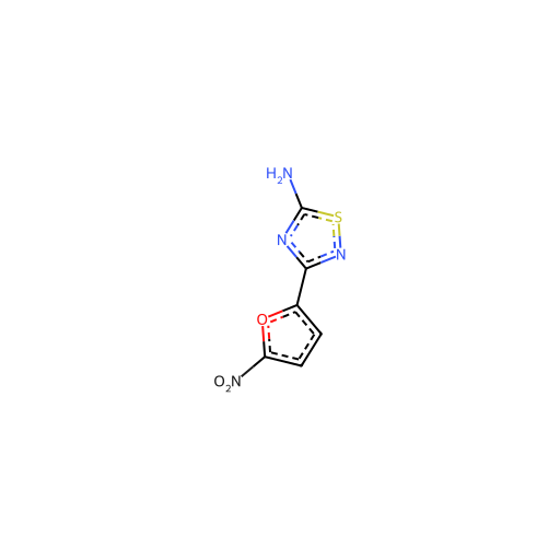 Nc1nc(-c2ccc([N+](=O)[O-])o2)ns1